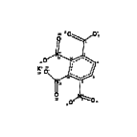 O=C([O-])c1ccc([N+](=O)[O-])c([N+](=O)[O-])c1[N+](=O)[O-].[K+]